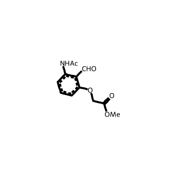 COC(=O)COc1cccc(NC(C)=O)c1C=O